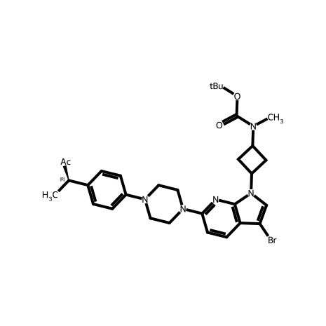 CC(=O)[C@H](C)c1ccc(N2CCN(c3ccc4c(Br)cn(C5CC(N(C)C(=O)OC(C)(C)C)C5)c4n3)CC2)cc1